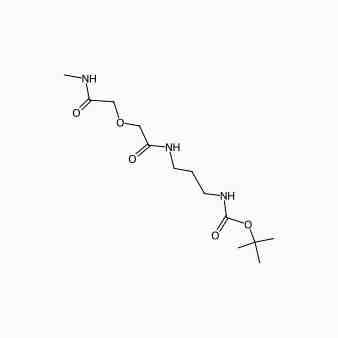 CNC(=O)COCC(=O)NCCCNC(=O)OC(C)(C)C